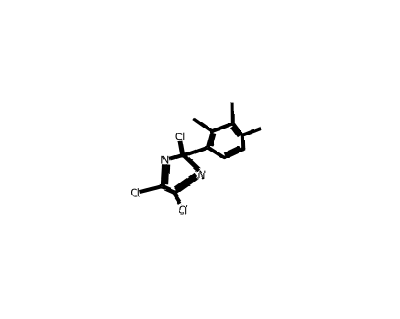 Cc1ccc(C2(Cl)N=C(Cl)C(Cl)=N2)c(C)c1C